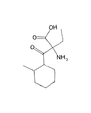 CCC(N)(C(=O)O)C(=O)C1CCCCC1C